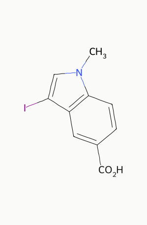 Cn1cc(I)c2cc(C(=O)O)ccc21